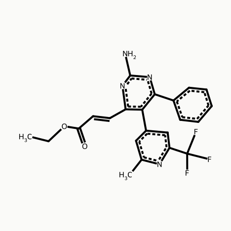 CCOC(=O)C=Cc1nc(N)nc(-c2ccccc2)c1-c1cc(C)nc(C(F)(F)F)c1